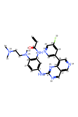 C=CC(=O)Nc1cc(Nc2ncc3cncc(-c4cncc(F)c4)c3n2)ccc1N(C)CCN(C)C